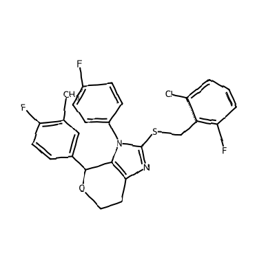 Cc1cc(C2OCCc3nc(SCc4c(F)cccc4Cl)n(-c4ccc(F)cc4)c32)ccc1F